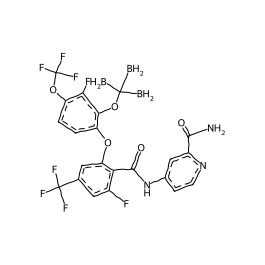 BC(B)(B)Oc1c(Oc2cc(C(F)(F)F)cc(F)c2C(=O)Nc2ccnc(C(N)=O)c2)ccc(OC(F)(F)F)c1F